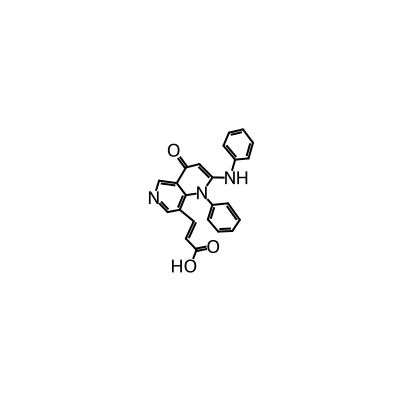 O=C(O)/C=C/c1cncc2c(=O)cc(Nc3ccccc3)n(-c3ccccc3)c12